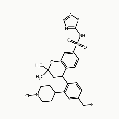 CC1(C)CC(c2ccc(CF)cc2C2CCN(Cl)CC2)c2ccc(S(=O)(=O)Nc3ncns3)cc2O1